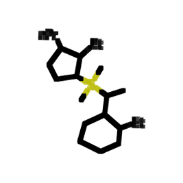 CCCC1CC[C@H](S(C)(C)C(C)C2CCCCC2CC)C1CC